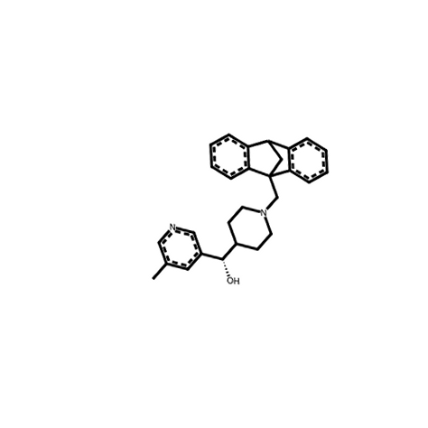 Cc1cncc([C@@H](O)C2CCN(CC34CC(c5ccccc53)c3ccccc34)CC2)c1